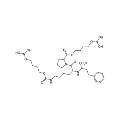 O=C(NCCCCC(NC(CCc1ccccc1)C(=O)O)C(=O)N1CCCC1C(=O)OCCCCON(O)O)OCCCCON(O)O